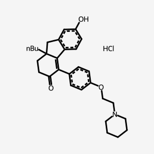 CCCCC12CCC(=O)C(c3ccc(OCCN4CCCCC4)cc3)=C1c1ccc(O)cc1C2.Cl